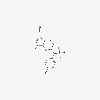 CCN(SC1SC(C#N)=CN1C)C(c1ccc(F)cc1)C(F)(F)F